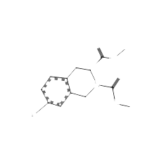 COC(=O)[C@@H]1Cc2ccc(Br)cc2CN1C(=O)OC